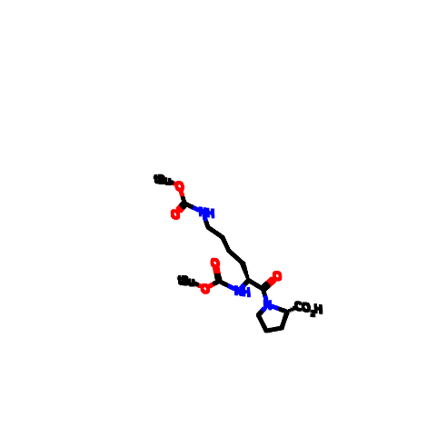 CC(C)(C)OC(=O)NCCCC[C@H](NC(=O)OC(C)(C)C)C(=O)N1CCC[C@H]1C(=O)O